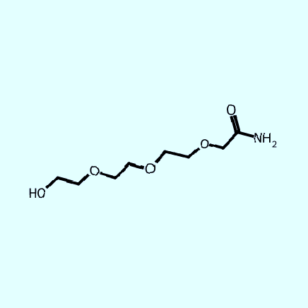 NC(=O)COCCOCCOCCO